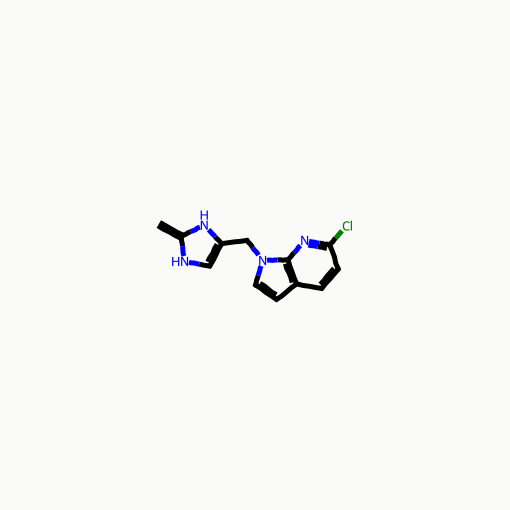 C=C1NC=C(Cn2ccc3ccc(Cl)nc32)N1